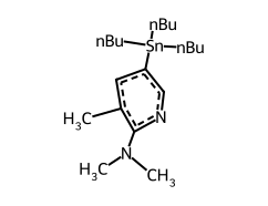 CCC[CH2][Sn]([CH2]CCC)([CH2]CCC)[c]1cnc(N(C)C)c(C)c1